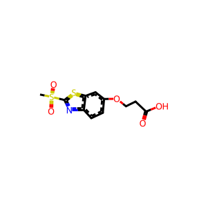 CS(=O)(=O)c1nc2ccc(OCCC(=O)O)cc2s1